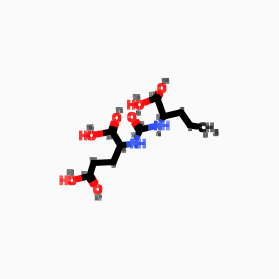 CCCC(NC(=O)NC(CCC(=O)O)C(=O)O)C(=O)O